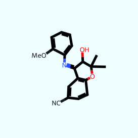 COc1ccccc1N=C1c2cc(C#N)ccc2OC(C)(C)C1O